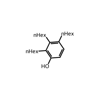 CCCCCCc1ccc(O)c(CCCCCC)c1CCCCCC